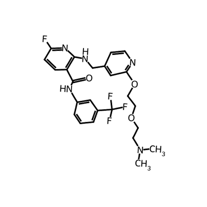 CN(C)CCOCCOc1cc(CNc2nc(F)ccc2C(=O)Nc2cccc(C(F)(F)F)c2)ccn1